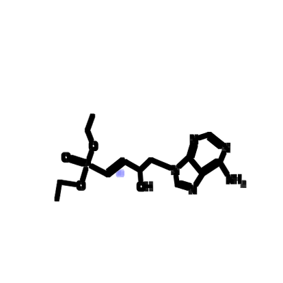 CCOP(=O)(/C=C/C(O)Cn1cnc2c(N)ncnc21)OCC